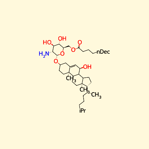 CCCCCCCCCCCCCC(=O)OC[C@H]1O[C@H](OC2CC[C@@]3(C)C(=C[C@@H](O)C4C3CC[C@@]3(C)C4CC[C@@H]3[C@H](C)CCCC(C)C)C2)[C@H](N)[C@@H](O)[C@@H]1O